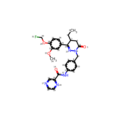 CCC1CC(=O)N(Cc2ccc(NC(=O)c3cnccn3)cc2)N=C1c1ccc(OCF)c(OC)c1